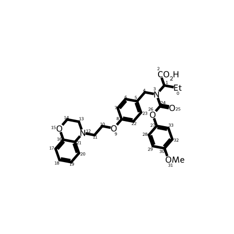 CCC(C(=O)O)N(Cc1ccc(OCCN2CCOc3ccccc32)cc1)C(=O)Oc1ccc(OC)cc1